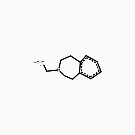 O=C(O)CN1CCc2ccccc2CC1